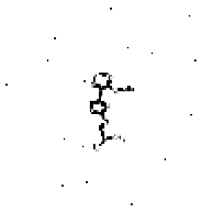 CCCCOC(=O)C(=NOC)c1csc(N=CN(C)C)n1